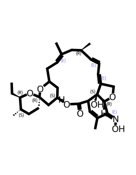 CC[C@H]1O[C@]2(CC[C@@H]1C)C[C@@H]1CC(C/C=C(\C)C[C@@H](C)/C=C/C=C3\CO[C@@H]4/C(=N/O)C(C)=CC(C(=O)O1)[C@]34O)O2